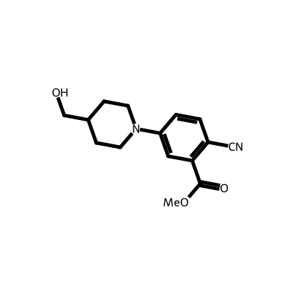 COC(=O)c1cc(N2CCC(CO)CC2)ccc1C#N